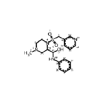 CN1CCN(S(=O)(=O)Cc2cccnc2)C(C(O)Nc2ccccc2)C1